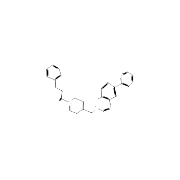 Cc1ccc(-c2ccccn2)cc1/N=C\NCC1CCN(C(=O)CCc2ccccc2)CC1